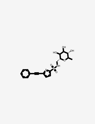 CC1O[C@H](CNS(=O)(=O)c2ccc(C#Cc3ccccc3)s2)C(O)C(O)[C@@H]1O